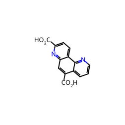 O=C(O)c1ccc2c(cc(C(=O)O)c3cccnc32)n1